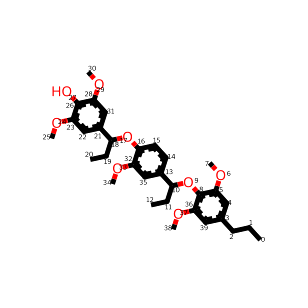 CCCc1cc(OC)c(OC(CC)c2ccc(OC(CC)c3cc(OC)c(O)c(OC)c3)c(OC)c2)c(OC)c1